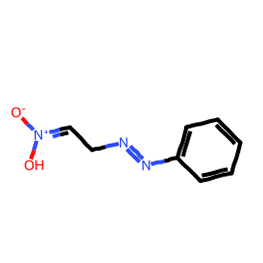 [O-][N+](O)=CCN=Nc1ccccc1